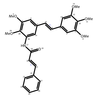 COc1cc(/C=C/c2cc(OC)c(OC)c(OC)c2)cc(NC(=O)/C=C/c2ccccc2)c1OC